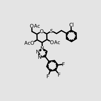 CC(=O)OCC1OC(SCCc2ccccc2Cl)C(OC(C)=O)C(n2cc(-c3cc(F)c(F)c(F)c3)nn2)C1OC(C)=O